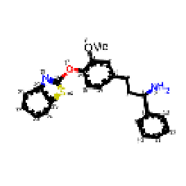 COc1cc(CCC(N)c2ccccc2)ccc1Oc1nc2ccccc2s1